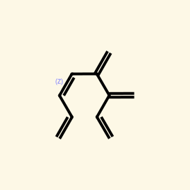 C=C/C=C\C(=C)C(=C)C=C